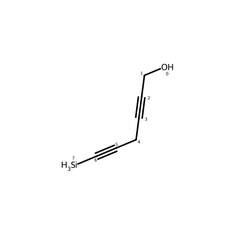 OCC#CCC#C[SiH3]